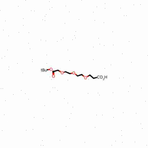 CC(C)(C)OC(=O)COCCOCCOCCC(=O)O